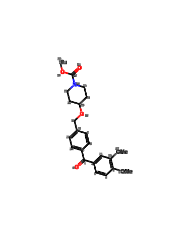 COc1ccc(C(=O)c2ccc(COC3CCN(C(=O)OC(C)(C)C)CC3)cc2)cc1OC